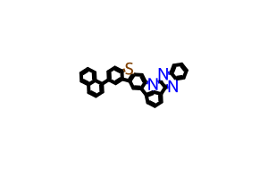 c1ccc2c(-c3ccc4sc5cc6c(cc5c4c3)c3cccc4c5nc7ccccc7nc5n6c34)cccc2c1